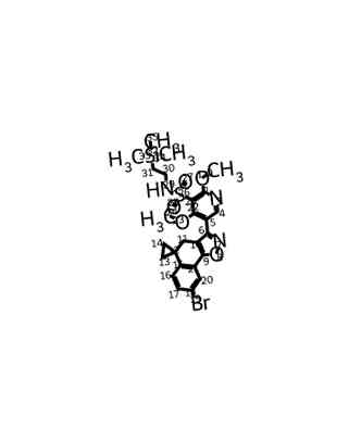 COc1ncc(-c2noc3c2CC2(CC2)c2ccc(Br)cc2-3)c(OC)c1S(=O)(=O)NCC[Si](C)(C)C